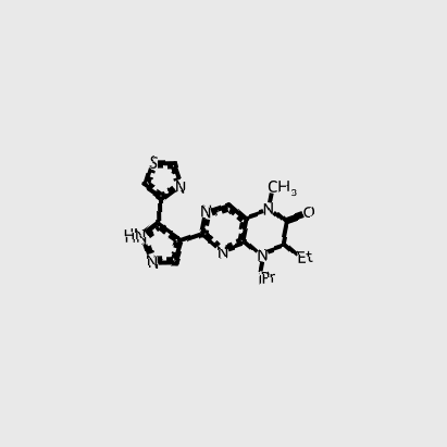 CCC1C(=O)N(C)c2cnc(-c3cn[nH]c3-c3cscn3)nc2N1C(C)C